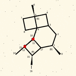 C[C@@H]1CC2C[C@@]3(C)CCC23C23CCC2(C)[C@H](I)C13